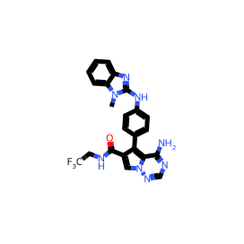 Cn1c(Nc2ccc(-c3c(C(=O)NCC(F)(F)F)cn4ncnc(N)c34)cc2)nc2ccccc21